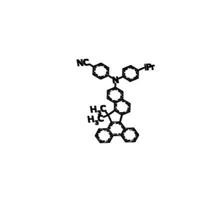 CC(C)c1ccc(N(c2ccc(C#N)cc2)c2ccc3c4c(ccc3c2)-c2c(c3ccccc3c3ccccc23)C4(C)C)cc1